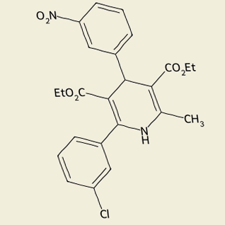 CCOC(=O)C1=C(C)NC(c2cccc(Cl)c2)=C(C(=O)OCC)C1c1cccc([N+](=O)[O-])c1